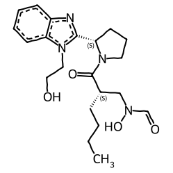 CCCC[C@@H](CN(O)C=O)C(=O)N1CCC[C@H]1c1nc2ccccc2n1CCO